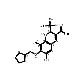 O=C(O)C1=Cc2cc(Cl)c(OCC3CCCC3)c(Cl)c2OC1C(F)(F)F